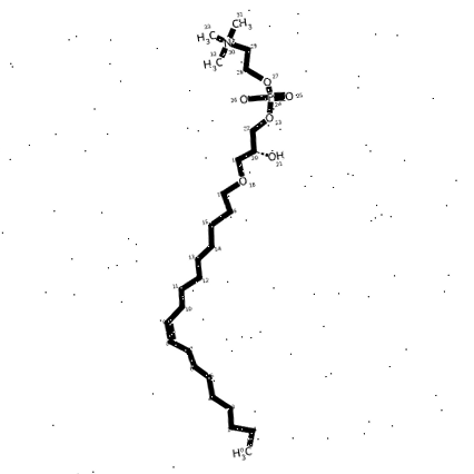 CCCCCCCC/C=C\CCCCCCCCOC[C@@H](O)COP(=O)([O-])OCC[N+](C)(C)C